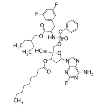 C#CC1(CO[P@@](=O)(NC(Cc2cc(F)cc(F)c2)C(=O)OCC(CC)CC)Oc2ccccc2)OC(n2cnc3c(N)nc(F)nc32)CC1OC(=O)CCCCCCCC